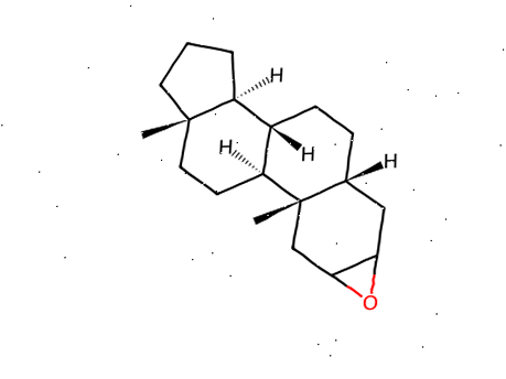 C[C@@]12CCC[C@H]1[C@@H]1CC[C@@H]3CC4OC4C[C@]3(C)[C@H]1CC2